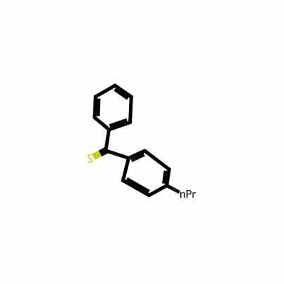 CCCc1ccc(C(=S)c2ccccc2)cc1